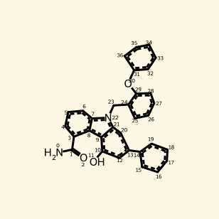 NC(=O)c1cccc2c1c1c(O)cc(-c3ccccc3)cc1n2Cc1ccccc1Oc1ccccc1